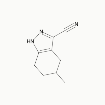 CC1CCc2[nH]nc(C#N)c2C1